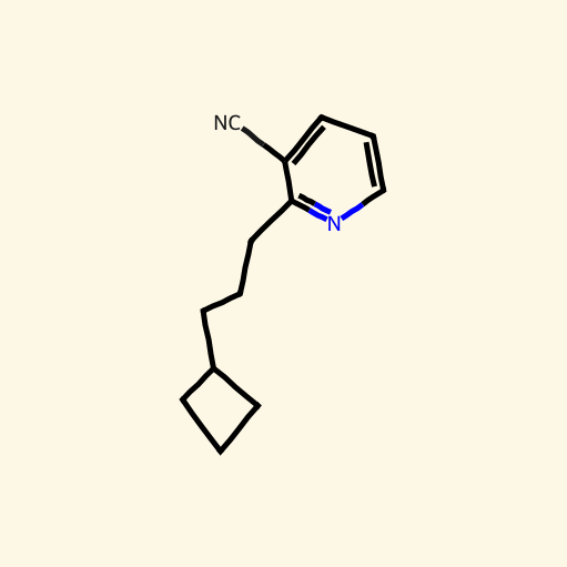 N#Cc1cccnc1CCCC1CCC1